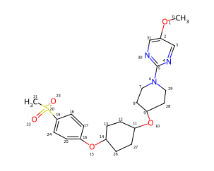 COc1cnc(N2CCC(OC3CCC(Oc4ccc(S(C)(=O)=O)cc4)CC3)CC2)nc1